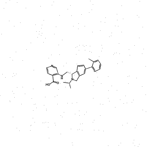 Cc1ccccc1-c1ccc2c(c1)CN(C(C)C)[C@@H]2CNc1cnccc1C(=O)O